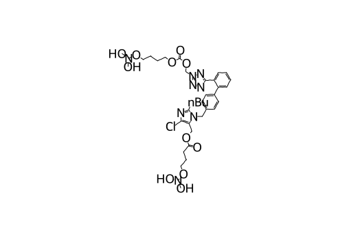 CCCCc1nc(Cl)c(COC(=O)CCCON(O)O)n1Cc1ccc(-c2ccccc2-c2nnn(COC(=O)OCCCCON(O)O)n2)cc1